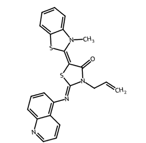 C=CCN1C(=O)/C(=C2/Sc3ccccc3N2C)S/C1=N\c1cccc2ncccc12